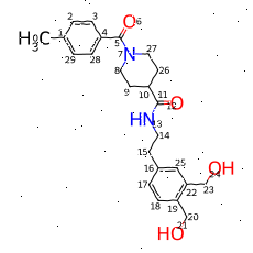 Cc1ccc(C(=O)N2CCC(C(=O)NCCc3ccc(CO)c(CO)c3)CC2)cc1